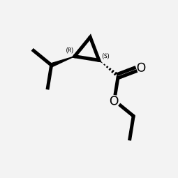 CCOC(=O)[C@H]1C[C@@H]1C(C)C